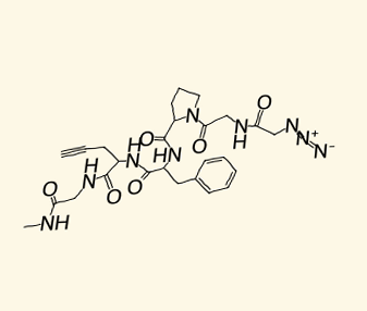 C#CCC(NC(=O)C(Cc1ccccc1)NC(=O)C1CCCN1C(=O)CNC(=O)CN=[N+]=[N-])C(=O)NCC(=O)NC